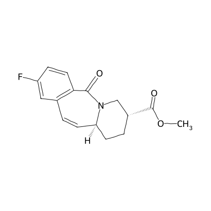 COC(=O)[C@@H]1CC[C@H]2C=Cc3cc(F)ccc3C(=O)N2C1